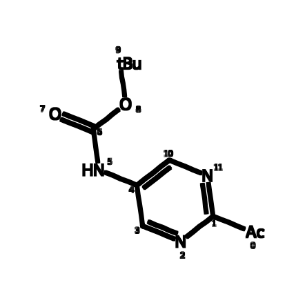 CC(=O)c1ncc(NC(=O)OC(C)(C)C)cn1